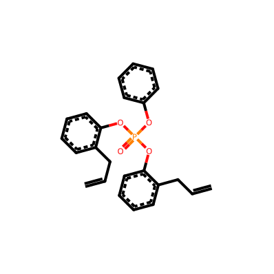 C=CCc1ccccc1OP(=O)(Oc1ccccc1)Oc1ccccc1CC=C